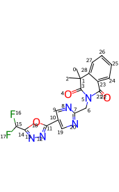 CC1(C)C(=O)N(Cc2ncc(-c3nnc(C(F)F)o3)cn2)C(=O)c2ccccc21